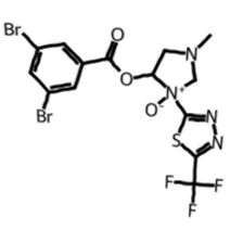 CN1CC(OC(=O)c2cc(Br)cc(Br)c2)[N+]([O-])(c2nnc(C(F)(F)F)s2)C1